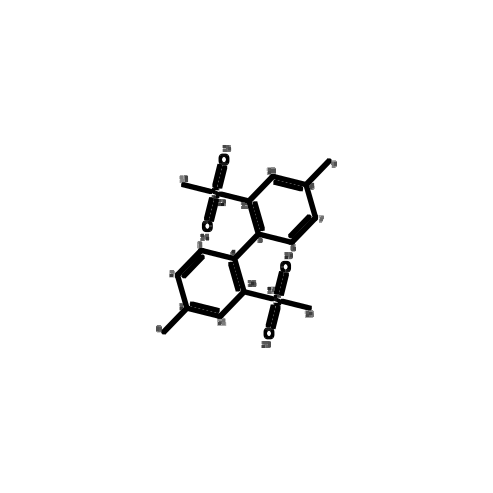 Cc1ccc(-c2ccc(C)cc2S(C)(=O)=O)c(S(C)(=O)=O)c1